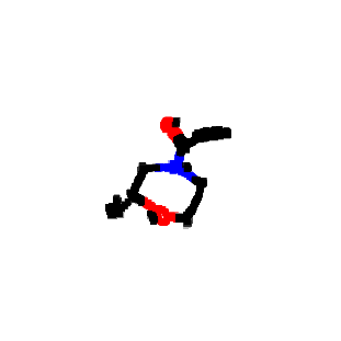 CC[C@@H]1CN(C(=O)OC)CCO1